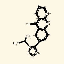 CC(C)n1nnnc1-c1ccc2oc3ncccc3c(=O)c2c1